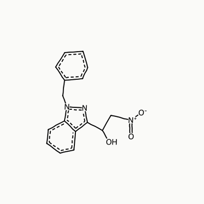 O=[N+]([O-])CC(O)c1nn(Cc2ccccc2)c2ccccc12